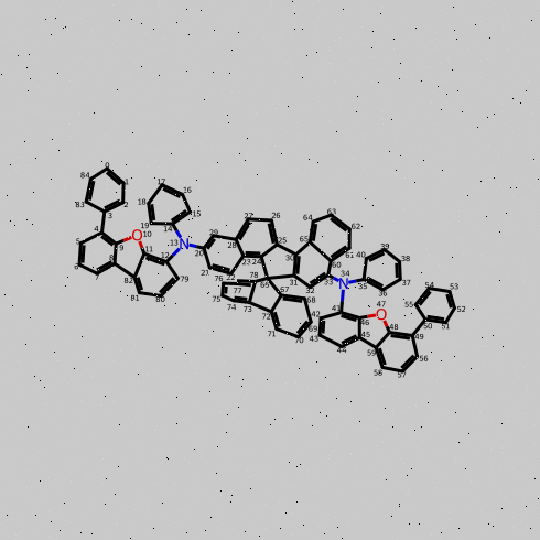 c1ccc(-c2cccc3c2oc2c(N(c4ccccc4)c4ccc5c6c(ccc5c4)-c4c(cc(N(c5ccccc5)c5cccc7c5oc5c(-c8ccccc8)cccc57)c5ccccc45)C64c5ccccc5-c5ccccc54)cccc23)cc1